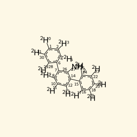 [2H]c1c([2H])c([2H])c(-c2c([2H])c([2H])c([2H])c(-c3c([2H])c([2H])c([2H])c([2H])c3[2H])c2N)c([2H])c1[2H]